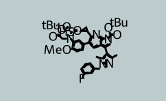 COc1ccc(-c2cc3c(-c4c(C)nn(Cc5cccc(F)c5)c4C)cn(C(=O)OC(C)(C)C)c3nc2C2CC2)cc1N(CC(=O)OC(C)(C)C)[SH](=O)=O